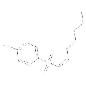 CCCCC/C=C\S(=O)(=O)c1ccc(Br)cc1